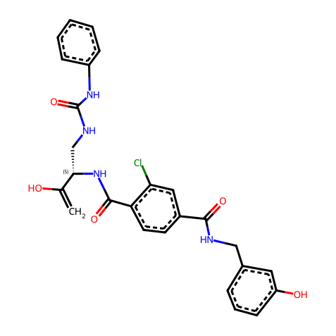 C=C(O)[C@H](CNC(=O)Nc1ccccc1)NC(=O)c1ccc(C(=O)NCc2cccc(O)c2)cc1Cl